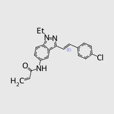 C=CC(=O)Nc1ccc2c(c1)c(/C=C/c1ccc(Cl)cc1)nn2CC